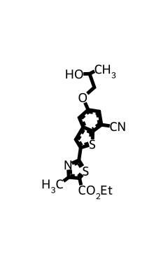 CCOC(=O)c1sc(-c2cc3cc(OCC(C)O)cc(C#N)c3s2)nc1C